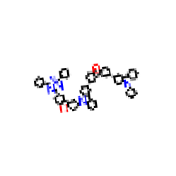 c1ccc(-c2nc(-c3ccccc3)nc(-c3ccc4oc5ccc(-n6c7ccccc7c7cc(-c8ccc9oc%10ccc(-c%11ccc%12c(c%11)c%11ccccc%11n%12-c%11ccccc%11)cc%10c9c8)ccc76)cc5c4c3)n2)cc1